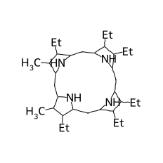 CCC1C2CC3NC(CC4NC(CC5NC(CC(N2)C1C)C(C)C5CC)C(CC)C4CC)C(CC)C3CC